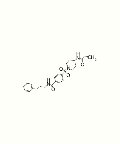 C=CC(=O)NC1CCN(S(=O)(=O)c2ccc(C(=O)NCCCc3ccccc3)cc2)CC1